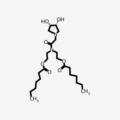 CCCCCCC(=O)OCCN(CCOC(=O)CCCCCC)C(=O)CN1C[C@@H](O)[C@@H](O)C1